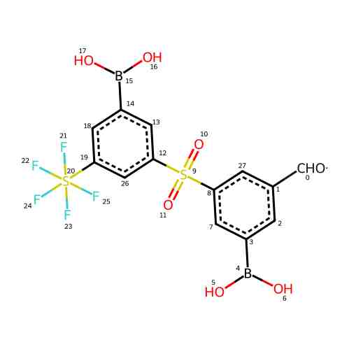 O=[C]c1cc(B(O)O)cc(S(=O)(=O)c2cc(B(O)O)cc(S(F)(F)(F)(F)F)c2)c1